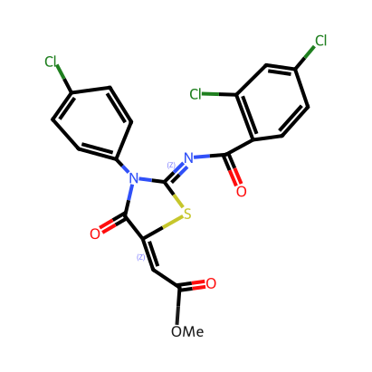 COC(=O)/C=C1\S/C(=N\C(=O)c2ccc(Cl)cc2Cl)N(c2ccc(Cl)cc2)C1=O